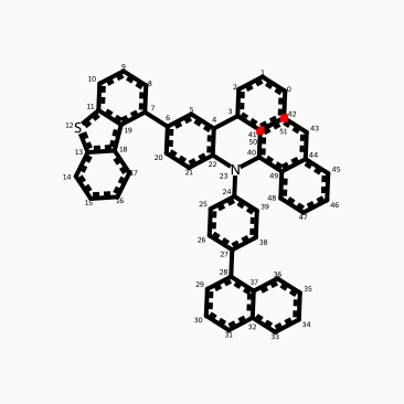 c1ccc(-c2cc(-c3cccc4sc5ccccc5c34)ccc2N(c2ccc(-c3cccc4ccccc34)cc2)c2cccc3ccccc23)cc1